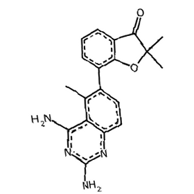 Cc1c(-c2cccc3c2OC(C)(C)C3=O)ccc2nc(N)nc(N)c12